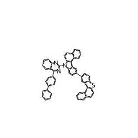 c1ccc(-c2ccc(-c3nc(-n4c5ccc(-c6ccc7sc8ccc9ccccc9c8c7c6)cc5c5c6ccccc6ccc54)nc4ccccc34)cc2)cc1